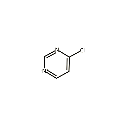 ClC1=CC=[N+]C=N1